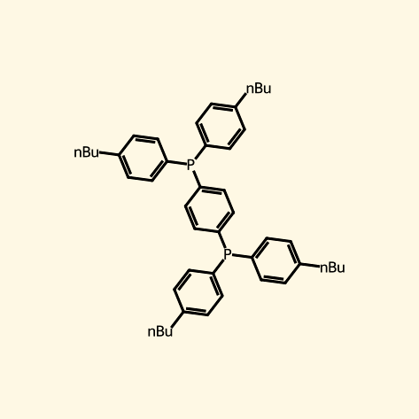 CCCCc1ccc(P(c2ccc(CCCC)cc2)c2ccc(P(c3ccc(CCCC)cc3)c3ccc(CCCC)cc3)cc2)cc1